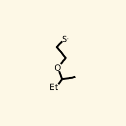 CCC(C)OCC[S]